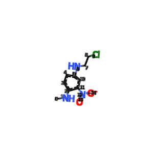 CNc1ccc(NCCCl)cc1[N+](=O)[O-]